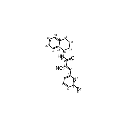 N#C/C(=C\c1cccc(Br)n1)C(=O)NC1CCCc2ccccc21